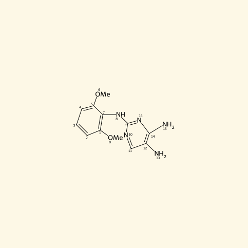 COc1cccc(OC)c1Nc1ncc(N)c(N)n1